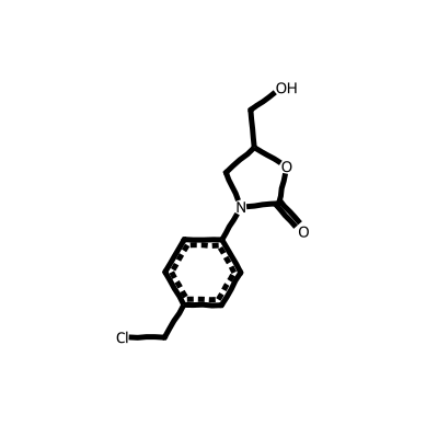 O=C1OC(CO)CN1c1ccc(CCl)cc1